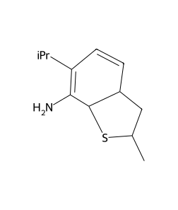 CC1CC2C=CC(C(C)C)=C(N)C2S1